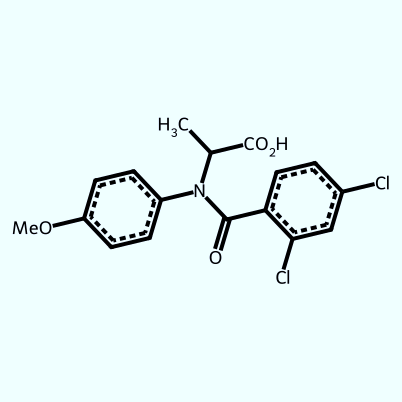 COc1ccc(N(C(=O)c2ccc(Cl)cc2Cl)C(C)C(=O)O)cc1